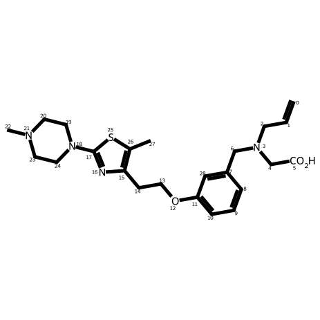 C=CCN(CC(=O)O)Cc1cccc(OCCc2nc(N3CCN(C)CC3)sc2C)c1